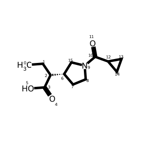 CCC(C(=O)O)[C@H]1CCN(C(=O)C2CC2)C1